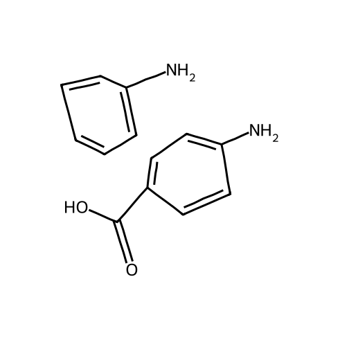 Nc1ccc(C(=O)O)cc1.Nc1ccccc1